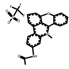 CC(=O)Nc1ccc2c3cccc4c3c([n+](C)c2c1)-c1ccccc1O4.O=S(=O)([O-])C(F)(F)F